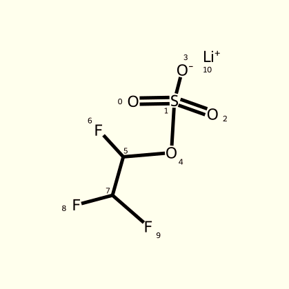 O=S(=O)([O-])OC(F)C(F)F.[Li+]